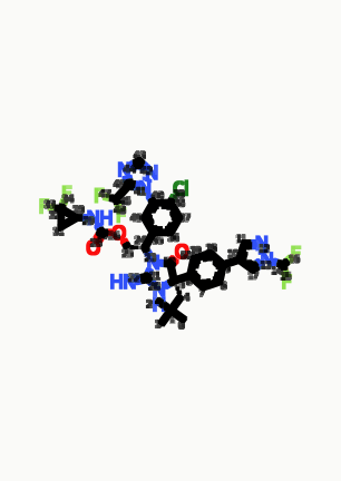 CC(C)(C)C[C@]1(c2ccc(-c3cnn(C(F)F)c3)cc2)NC(=N)N([C@H](COC(=O)NC2CC2(F)F)c2ccc(Cl)c(-n3ncnc3C(F)F)c2)C1=O